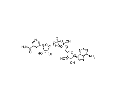 NC(=O)c1cncc([C@@H]2O[C@H](COP(=O)(O)OP(=O)(O)OC[C@H]3O[C@@H](n4cnc5c(N)ncnc54)C(O)[C@H]3O)C(O)[C@@H]2O)c1